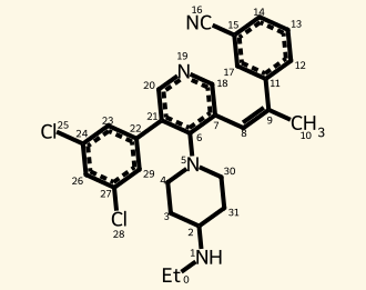 CCNC1CCN(c2c(C=C(C)c3cccc(C#N)c3)cncc2-c2cc(Cl)cc(Cl)c2)CC1